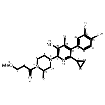 COCCC(=O)N1CCN(c2nc(C3CC3)c(-c3ccc(F)c(Cl)c3)c(C)c2C#N)CC1C